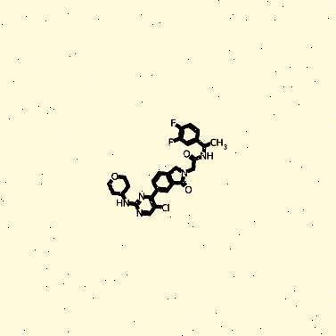 CC(NC(=O)CN1Cc2ccc(-c3nc(NC4CCOCC4)ncc3Cl)cc2C1=O)c1ccc(F)c(F)c1